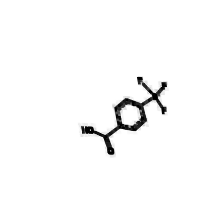 O=C(O)c1ccc([B-](F)(F)F)cc1